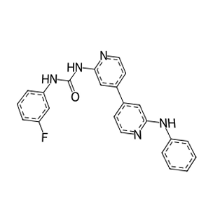 O=C(Nc1cccc(F)c1)Nc1cc(-c2ccnc(Nc3ccccc3)c2)ccn1